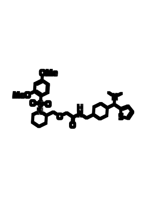 COc1ccc(S(=O)(=O)N2CCCCC2COCC(=O)NCC2CCC(C(c3cccs3)N(C)C)CC2)c(OC)c1